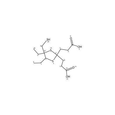 CCC1SC(CCC(=O)O)(CCC(=O)O)SC1(CC)CS